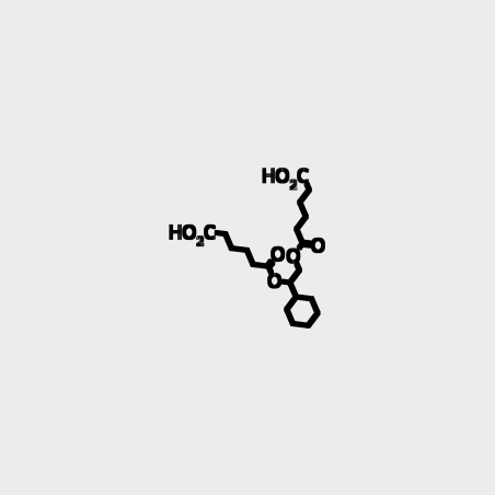 O=C(O)CCCCC(=O)OCC(OC(=O)CCCCC(=O)O)C1CCCCC1